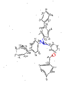 c1ccc(COc2cccc(N(c3ccc(-c4ccccc4)cc3)c3ccc(-c4ccccc4)cc3)c2)cc1